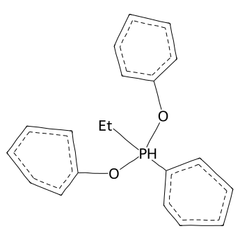 CC[PH](Oc1ccccc1)(Oc1ccccc1)c1ccccc1